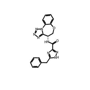 O=C(N[C@H]1COc2ccccc2-n2nnnc21)c1n[nH]c(Cc2ccccc2)n1